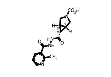 O=C(NNC(=O)[C@@H]1[C@@H]2CN(C(=O)O)C[C@@H]21)c1cccnc1C(F)(F)F